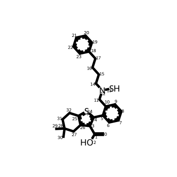 C=C(O)c1c(-c2ccccc2CN(S)CCCCc2ccccc2)sc2c1CC(C)(C)CC2